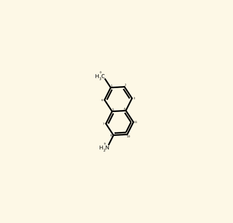 Cc1ccc2c(c1)=CC(N)=C=C=2